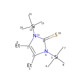 CCc1c(CC)n([Si](C)(C)C)c(=S)n1[Si](C)(C)C